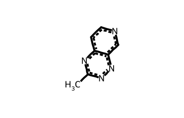 Cc1nnc2cnccc2n1